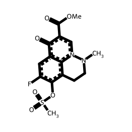 COC(=O)c1cn2c3c(c(OS(C)(=O)=O)c(F)cc3c1=O)CCN2C